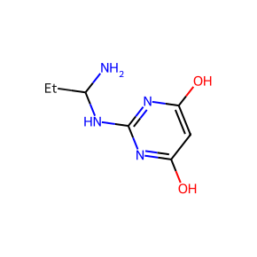 CCC(N)Nc1nc(O)cc(O)n1